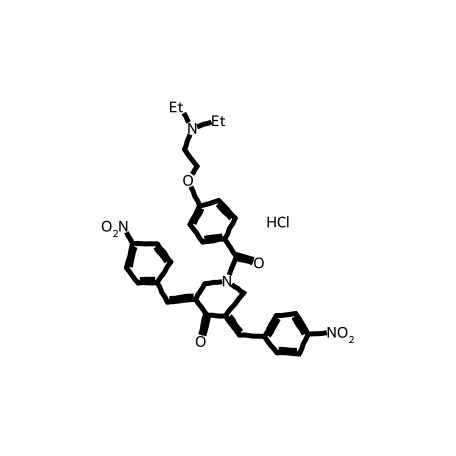 CCN(CC)CCOc1ccc(C(=O)N2CC(=Cc3ccc([N+](=O)[O-])cc3)C(=O)C(=Cc3ccc([N+](=O)[O-])cc3)C2)cc1.Cl